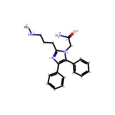 CC(C)(C)NCCCc1nc(-c2ccccc2)c(-c2ccccc2)n1CC(N)=O